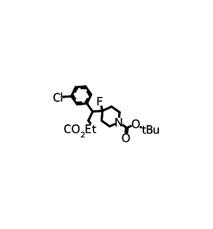 CCOC(=O)CC(c1cccc(Cl)c1)C1(F)CCN(C(=O)OC(C)(C)C)CC1